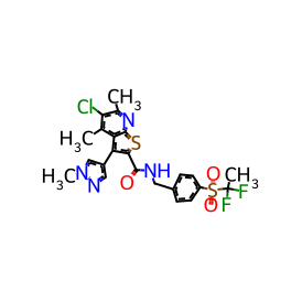 Cc1nc2sc(C(=O)NCc3ccc(S(=O)(=O)C(C)(F)F)cc3)c(-c3cnn(C)c3)c2c(C)c1Cl